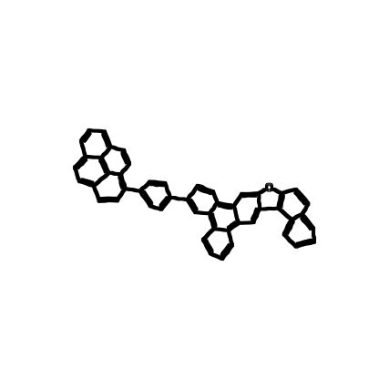 c1ccc2c(c1)ccc1oc3cc4c5ccc(-c6ccc(-c7ccc8ccc9cccc%10ccc7c8c9%10)cc6)cc5c5ccccc5c4cc3c12